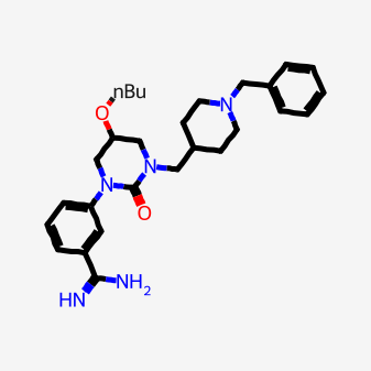 CCCCOC1CN(CC2CCN(Cc3ccccc3)CC2)C(=O)N(c2cccc(C(=N)N)c2)C1